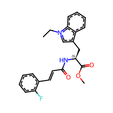 CCn1cc(C[C@H](NC(=O)C=Cc2ccccc2F)C(=O)OC)c2ccccc21